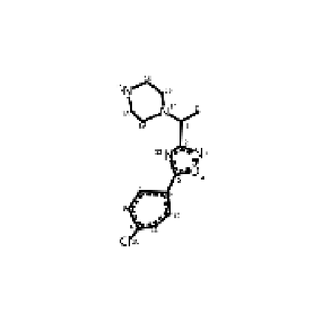 CC(c1noc(-c2ccc(Cl)cc2)n1)N1CC[N]CC1